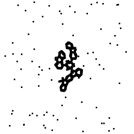 CC1(C)c2ccccc2-c2cc3c4ccccc4n(-c4nc(-c5ccc6sc7ccccc7c6c5)nc(-c5cccc6oc7ccccc7c56)n4)c3cc21